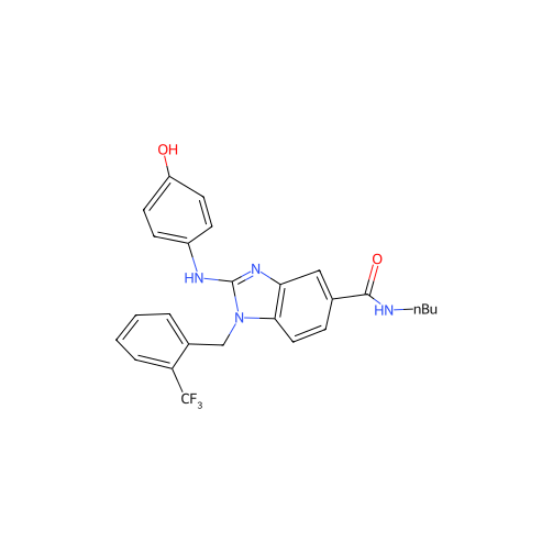 CCCCNC(=O)c1ccc2c(c1)nc(Nc1ccc(O)cc1)n2Cc1ccccc1C(F)(F)F